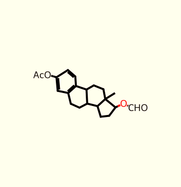 CC(=O)Oc1ccc2c(c1)CCC1C2CCC2(C)C(OC=O)CCC12